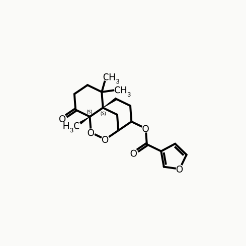 CC1(C)CCC(=O)[C@@]2(C)OOC3C[C@@]12CCC3OC(=O)c1ccoc1